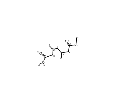 COC(=O)CC(C)CN(C)CC(=O)OC